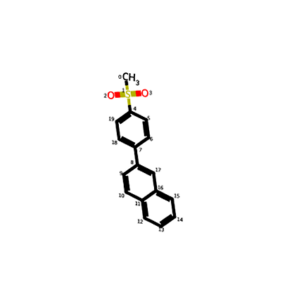 CS(=O)(=O)c1ccc(-c2ccc3ccccc3c2)cc1